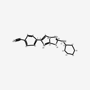 N#Cc1ccc(-c2cn3nc(NC4CCCCC4)sc3n2)cc1